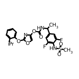 CC(C)c1ccccc1Oc1nc(OC(=O)NC(C)c2cc(F)c(NS(C)(=O)=O)c(F)c2)co1